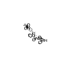 COc1cc(C)[nH]c(=O)c1CNC(=O)c1c(C)n(C(C)C2CCN(S(=O)(=O)C3CC3)CC2)c2ccccc12